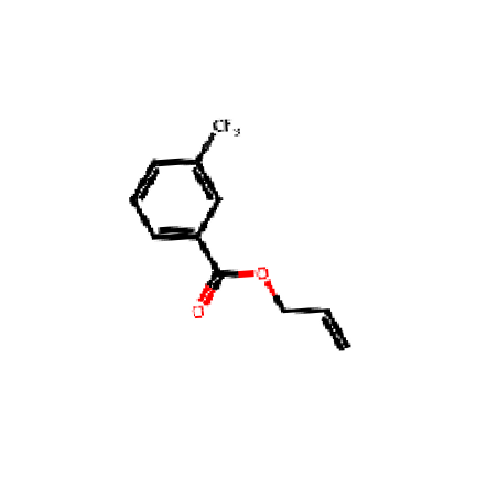 C=CCOC(=O)c1cccc(C(F)(F)F)c1